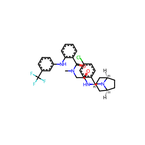 CN(CC(=O)N[C@H]1C[C@H]2CC[C@@H](C1)N2Cc1ccc(Cl)cc1)C(=O)c1ccccc1Nc1cccc(C(F)(F)F)c1